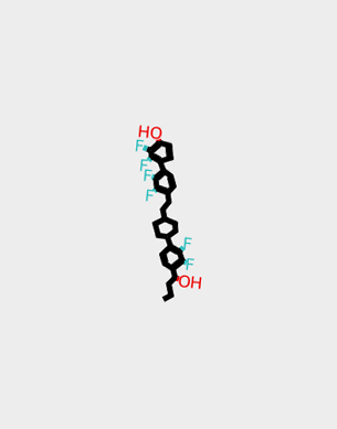 CCCC(O)c1ccc(C2CCC(CCc3ccc(-c4ccc(O)c(F)c4F)c(F)c3F)CC2)c(F)c1F